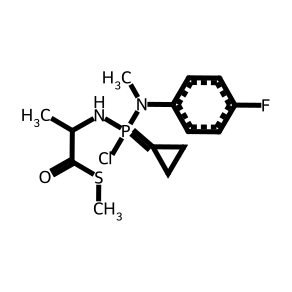 CSC(=O)C(C)NP(Cl)(=C1CC1)N(C)c1ccc(F)cc1